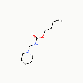 CCCCOC(=O)NCN1CCCCC1